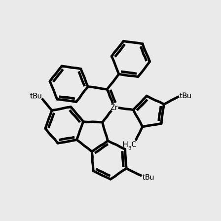 CC1C=C(C(C)(C)C)C=[C]1[Zr](=[C](c1ccccc1)c1ccccc1)[CH]1c2cc(C(C)(C)C)ccc2-c2ccc(C(C)(C)C)cc21